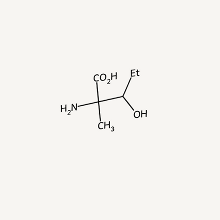 CCC(O)C(C)(N)C(=O)O